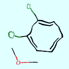 COC.Clc1ccccc1Cl